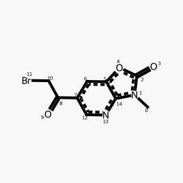 Cn1c(=O)oc2cc(C(=O)CBr)cnc21